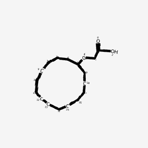 O=C(O)COC1CCCCCCCCCCCCCC1